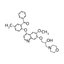 COc1cc2c(Oc3ccc(C)cc3C(=O)c3ccccc3)ccnc2cc1OCC(O)CN1CCOCC1